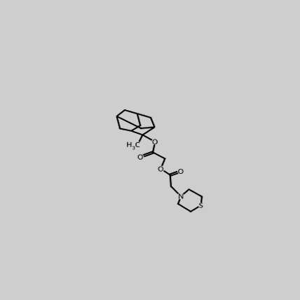 CC1(OC(=O)COC(=O)CN2CCSCC2)C2CC3CC(C2)CC1C3